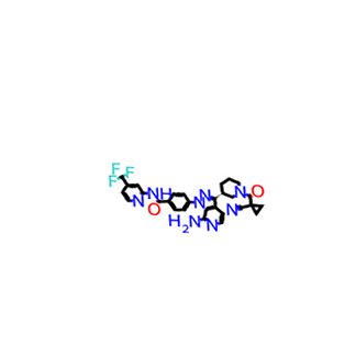 N#CC1(C(=O)N2CCC[C@@H](c3nn(-c4ccc(C(=O)Nc5cc(C(F)(F)F)ccn5)cc4)c4c(N)nccc34)C2)CC1